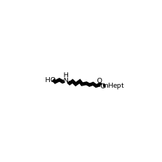 CCCCCCCOC(=O)CCCCCCCCCNCCCO